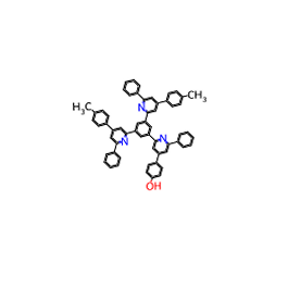 Cc1ccc(-c2cc(-c3ccccc3)nc(-c3cc(-c4cc(-c5ccc(C)cc5)cc(-c5ccccc5)n4)cc(-c4cc(-c5ccc(O)cc5)cc(-c5ccccc5)n4)c3)c2)cc1